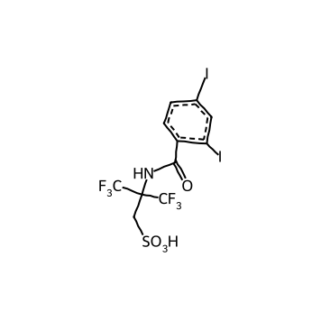 O=C(NC(CS(=O)(=O)O)(C(F)(F)F)C(F)(F)F)c1ccc(I)cc1I